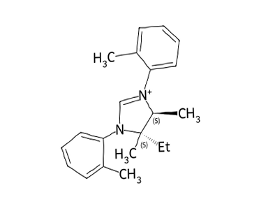 CC[C@@]1(C)[C@H](C)[N+](c2ccccc2C)=CN1c1ccccc1C